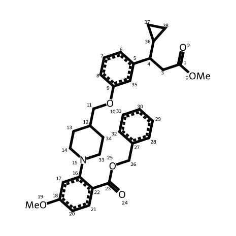 COC(=O)CC(c1cccc(OCC2CCN(c3cc(OC)ccc3C(=O)OCc3ccccc3)CC2)c1)C1CC1